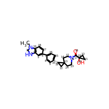 CN1CNc2cc(-c3ccc([C@H]4CC45CCN(C(=O)C4(O)CC4)CC5)cc3)ccc21